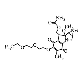 CCOCCOCCOC1=C(C)C(=O)C2=C(C1=O)C(COC(N)=O)C1(OC)C3NC3CN21